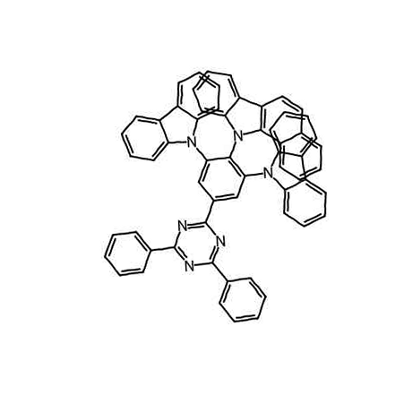 c1ccc(-c2nc(-c3ccccc3)nc(-c3cc(-n4c5ccccc5c5ccccc54)c(-n4c5ccccc5c5ccc6ccccc6c54)c(-n4c5ccccc5c5ccccc54)c3)n2)cc1